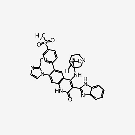 Cc1nccn1-c1cc2[nH]c(=O)c(-c3nc4ccccc4[nH]3)c(N[C@H]3CN4CCC3CC4)c2cc1-c1ccc(S(C)(=O)=O)cc1